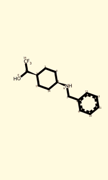 OC([C@H]1CC[C@@H](NCc2ccccc2)CC1)C(F)(F)F